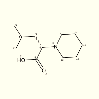 CC(C)C[C@@H](C(=O)O)N1CCCCC1